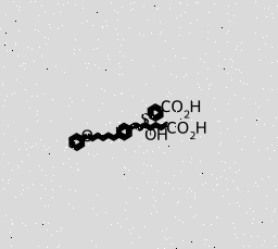 O=C(O)CCC[C@H](O)[C@@H](/C=C/c1ccc(CCCCCOc2ccccc2)cc1)Sc1ccc(C(=O)O)cc1